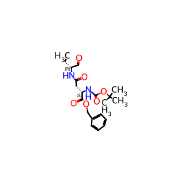 CC[C@H](C=O)NC(=O)C[C@H](NC(=O)OC(C)(C)C)C(=O)OCc1ccccc1